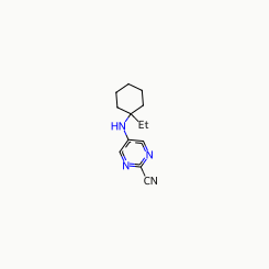 CCC1(Nc2cnc(C#N)nc2)CCCCC1